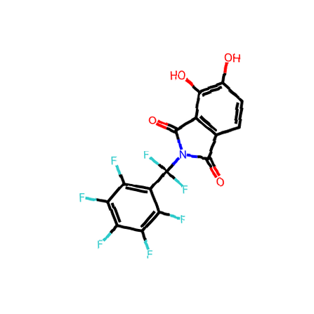 O=C1c2ccc(O)c(O)c2C(=O)N1C(F)(F)c1c(F)c(F)c(F)c(F)c1F